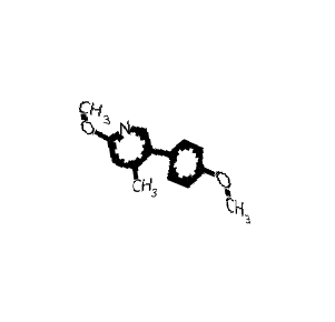 COc1ccc(-c2cnc(OC)cc2C)cc1